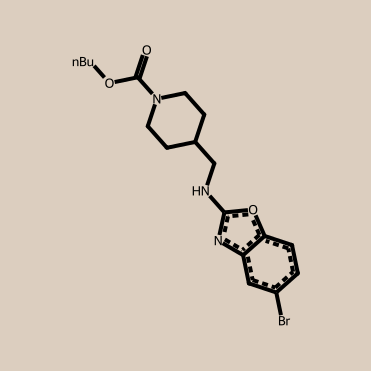 CCCCOC(=O)N1CCC(CNc2nc3cc(Br)ccc3o2)CC1